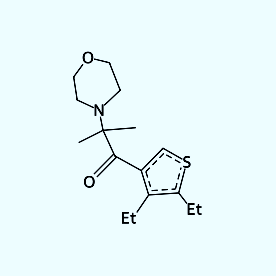 CCc1scc(C(=O)C(C)(C)N2CCOCC2)c1CC